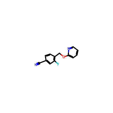 N#Cc1ccc(COc2ccccn2)c(F)c1